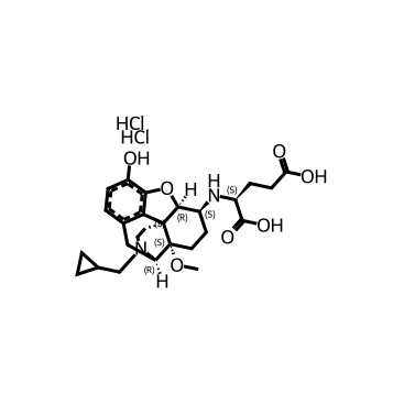 CO[C@@]12CC[C@H](N[C@@H](CCC(=O)O)C(=O)O)[C@@H]3Oc4c(O)ccc5c4[C@@]31CCN(CC1CC1)[C@@H]2C5.Cl.Cl